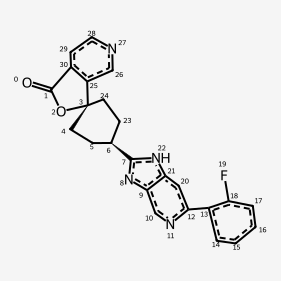 O=C1O[C@]2(CC[C@H](c3nc4cnc(-c5ccccc5F)cc4[nH]3)CC2)c2cnccc21